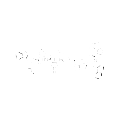 CC(=O)NC1CCCC1C(=O)N[C@H](CC(=O)NC1CCCC1C(=O)NC[C@H](CC(C)C)C(=O)NC1CNCC1C(=O)NC1CNCC1C(=O)N[C@H](CC(N)=O)Cc1c[nH]c2ccccc12)Cc1cccc2ccccc12